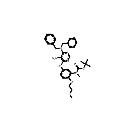 COCCOc1ccc(Nc2ncnc(N(Cc3ccccc3)Cc3ccccc3)c2N)cc1N(C)C(=O)OC(C)(C)C